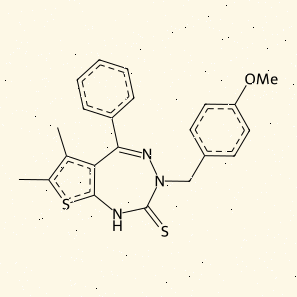 COc1ccc(CN2N=C(c3ccccc3)c3c(sc(C)c3C)NC2=S)cc1